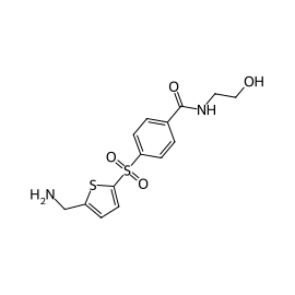 NCc1ccc(S(=O)(=O)c2ccc(C(=O)NCCO)cc2)s1